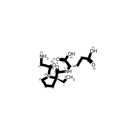 CC[C@@]1(C(=O)N[C@@H](CCC(=O)O)C(=O)O)CCCN1C(=O)CN